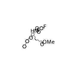 COC(=O)CCC/C=C\C[C@@H]1[C@@H](CNS(=O)(=O)c2ccc(F)cc2)CC[C@@H]1OCc1ccc(-c2ccccc2)cc1